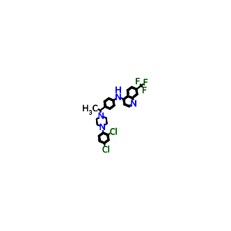 CC(c1ccc(Nc2ccnc3cc(C(F)(F)F)ccc23)cc1)N1CCN(c2ccc(Cl)cc2Cl)CC1